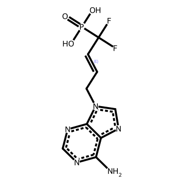 Nc1ncnc2c1ncn2C/C=C/C(F)(F)P(=O)(O)O